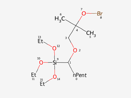 CCCCCC(OCC(C)(C)OBr)[Si](OCC)(OCC)OCC